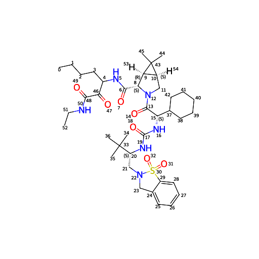 CCCCC(NC(=O)[C@@H]1[C@@H]2[C@H](CN1C(=O)[C@@H](NC(=O)N[C@H](CN1Cc3ccccc3S1(=O)=O)C(C)(C)C)C1CCCCC1)C2(C)C)C(=O)C(=O)NCC